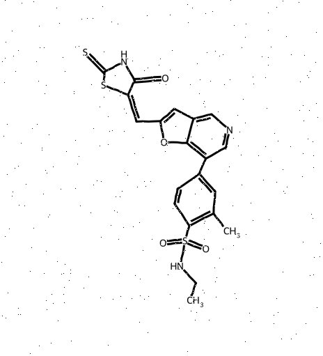 CCNS(=O)(=O)c1ccc(-c2cncc3cc(C=C4SC(=S)NC4=O)oc23)cc1C